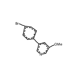 COc1cncc(-c2ccc(Br)cc2)c1